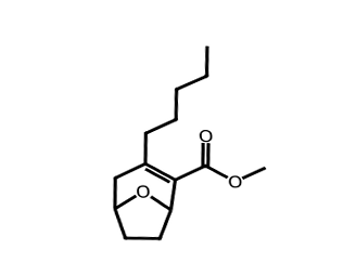 CCCCCC1=C(C(=O)OC)C2CCC(C1)O2